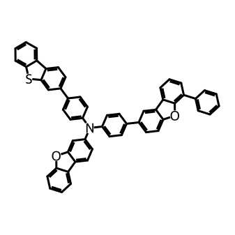 c1ccc(-c2cccc3c2oc2ccc(-c4ccc(N(c5ccc(-c6ccc7c(c6)sc6ccccc67)cc5)c5ccc6c(c5)oc5ccccc56)cc4)cc23)cc1